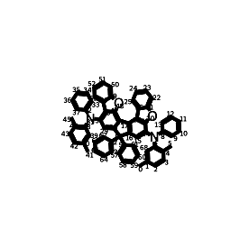 Cc1ccc(C)c(N(c2ccccc2)c2cc3c(c4c2oc2ccccc24)-c2c(cc(N(c4ccccc4)c4cc(C)ccc4C)c4c2oc2ccccc24)C3(c2ccccc2)c2ccccc2)c1